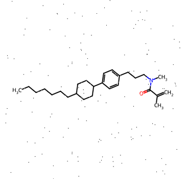 C=C(C)C(=O)N(C)CCCc1ccc(C2CCC(CCCCCCC)CC2)cc1